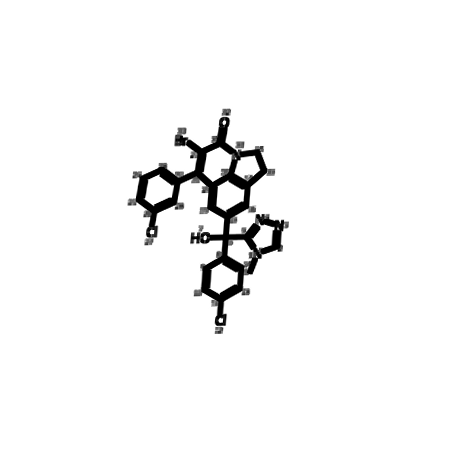 Cn1cnnc1C(O)(c1ccc(Cl)cc1)c1cc2c3c(c1)c(-c1cccc(Cl)c1)c(Br)c(=O)n3CC2